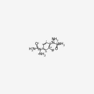 NC(=O)N(N)c1ccc(N(N)C(N)=O)c(F)c1